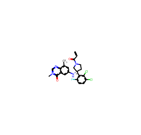 C=CC(=O)N1CC[C@@](Nc2cc(C(F)(F)F)c3ncn(C)c(=O)c3c2)(c2c(F)ccc(Cl)c2Cl)C1